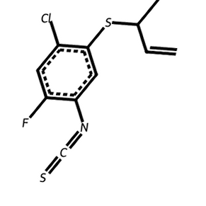 C=CC(C)Sc1cc(N=C=S)c(F)cc1Cl